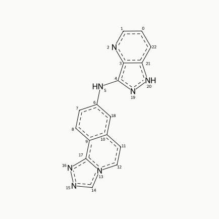 c1cnc2c(Nc3ccc4c(ccn5cnnc45)c3)n[nH]c2c1